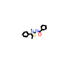 Cc1sc(=NC(=O)c2ccccc2)n(C)c1-c1ccccc1